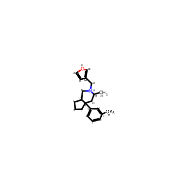 CC(=O)Oc1cccc(C23CCCC2CN(Cc2ccoc2)C(C)C3)c1